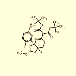 CO[C@H]1C[C@H]2CSC(N(C(=O)OC(C)(C)C)C(=O)OC(C)(C)C)=N[C@@]2(c2cc(Br)ccc2F)C1